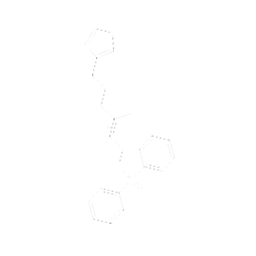 C/C(=C\COP(=O)(c1ccccc1)c1ccccc1)CCCc1ccoc1